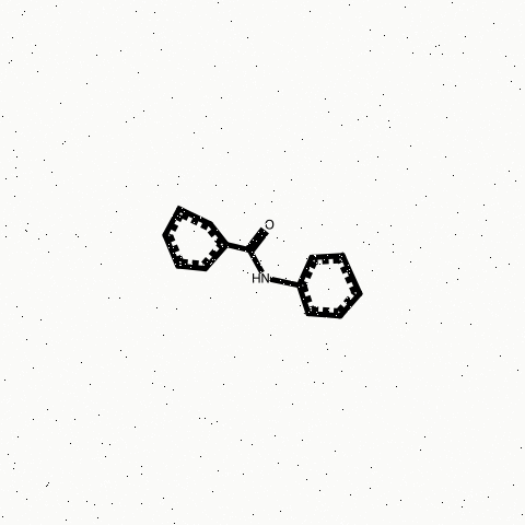 O=C(Nc1[c]cc[c]c1)c1ccccc1